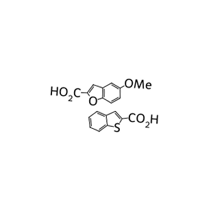 COc1ccc2oc(C(=O)O)cc2c1.O=C(O)c1cc2ccccc2s1